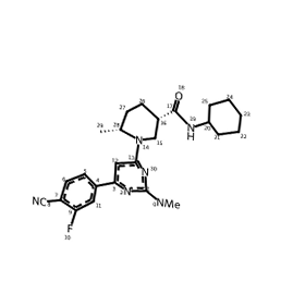 CNc1nc(-c2ccc(C#N)c(F)c2)cc(N2C[C@@H](C(=O)NC3CCCCC3)CC[C@H]2C)n1